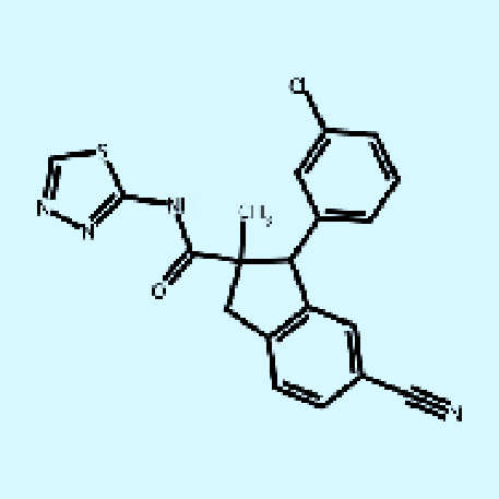 CC1(C(=O)Nc2nncs2)Cc2ccc(C#N)cc2C1c1cccc(Cl)c1